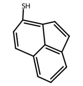 Sc1ccc2cccc3c2c1C=C3